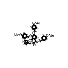 COc1ccc(CO/N=C(/C(=O)NCC23CCN(CC2)CC3)c2ccc(OCc3ccc(OC)cc3)c(OCc3ccc(OC)cc3)c2Cl)cc1